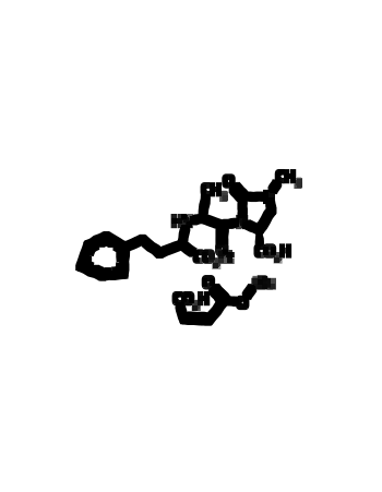 CC(C)(C)OC(=O)/C=C\C(=O)O.CCOC(=O)C(CCc1ccccc1)NC(C)C(=O)N1C(=O)N(C)C[C@H]1C(=O)O